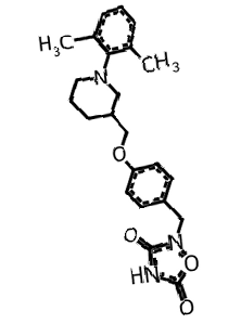 Cc1cccc(C)c1N1CCCC(COc2ccc(Cn3oc(=O)[nH]c3=O)cc2)C1